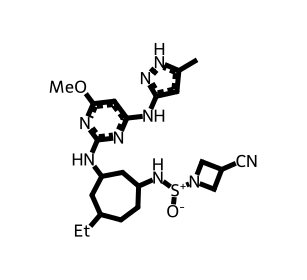 CCC1CCC(N[S+]([O-])N2CC(C#N)C2)CC(Nc2nc(Nc3cc(C)[nH]n3)cc(OC)n2)C1